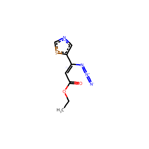 CCOC(=O)/C=C(\N=[N+]=[N-])c1cncs1